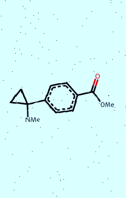 CNC1(c2ccc(C(=O)OC)cc2)CC1